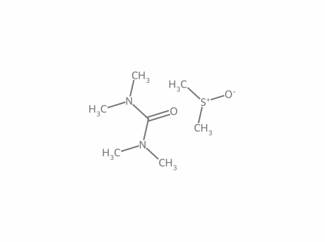 CN(C)C(=O)N(C)C.C[S+](C)[O-]